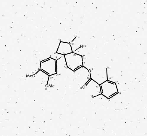 COc1ccc([C@@]23CC=C(OC(=O)c4c(C)cccc4C)C[C@@H]2N(C)CC3)cc1OC